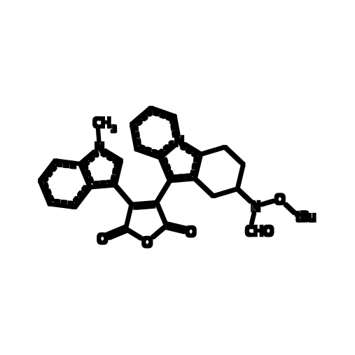 Cn1cc(C2=C(c3c4c(n5ccccc35)CCC(N(C=O)OC(C)(C)C)C4)C(=O)OC2=O)c2ccccc21